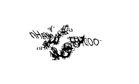 CC(I)CC(C)(C)C(=O)[O-].CCCCCCOc1nsnc1C1=CCC[N+](C)(C(C)OC(=O)C(C)(C)C)C1.CCCCCCOc1nsnc1C1=CCC[N+](C)(C(C)OC(=O)C(C)(C)C)C1.[I-]